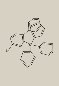 Brc1ccc(-c2ccccc2)c([Si](c2ccccc2)(c2ccccc2)c2ccccc2)c1